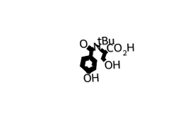 CC(C)(C)N(C(=O)c1ccc(O)cc1)C(CO)C(=O)O